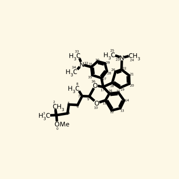 COC(C)(C)CCCC(C)C1Oc2ccccc2C(c2cccc(N(C)C)c2)(c2cccc(N(C)C)c2)O1